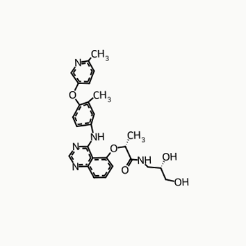 Cc1ccc(Oc2ccc(Nc3ncnc4cccc(O[C@H](C)C(=O)NC[C@H](O)CO)c34)cc2C)cn1